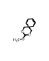 COC1OCC2(CC=CCC2)CO1